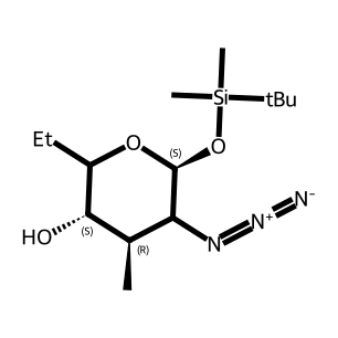 CCC1O[C@@H](O[Si](C)(C)C(C)(C)C)C(N=[N+]=[N-])[C@@H](C)[C@@H]1O